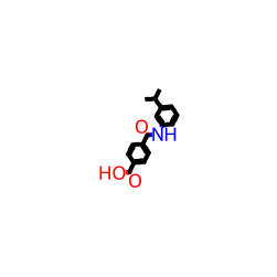 CC(C)c1cccc(NC(=O)c2ccc(C(=O)O)cc2)c1